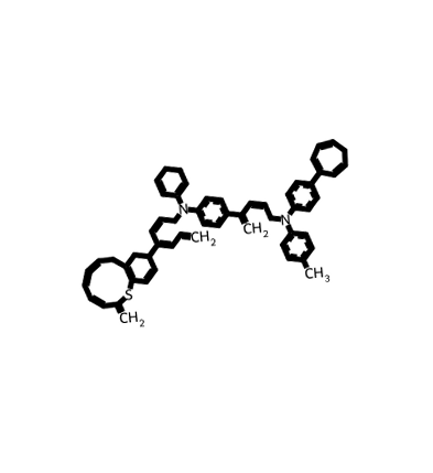 C=C/C=C(\C=C/CN(C1=CCCC=C1)c1ccc(C(=C)/C=C\CN(c2ccc(C)cc2)c2ccc(C3=CC=CCC=C3)cc2)cc1)C1C=CC2=C(CC=C=C/C=C\C(=C)S2)C1